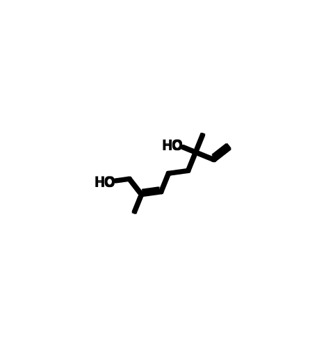 C=CC(C)(O)CCC=C(C)CO